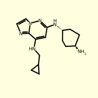 N[C@H]1CC[C@H](Nc2cc(NCC3CC3)c3nccn3n2)CC1